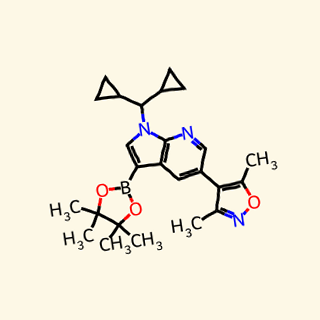 Cc1noc(C)c1-c1cnc2c(c1)c(B1OC(C)(C)C(C)(C)O1)cn2C(C1CC1)C1CC1